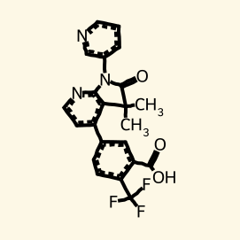 CC1(C)C(=O)N(c2cccnc2)c2nccc(-c3ccc(C(F)(F)F)c(C(=O)O)c3)c21